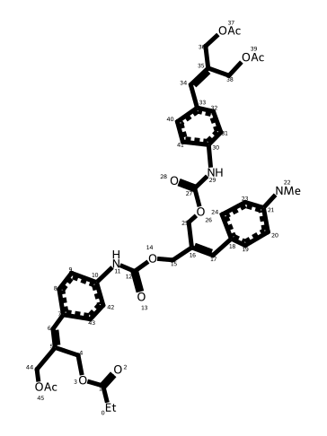 CCC(=O)OC/C(=C\c1ccc(NC(=O)OC/C(=C/c2ccc(NC)cc2)COC(=O)Nc2ccc(C=C(COC(C)=O)COC(C)=O)cc2)cc1)COC(C)=O